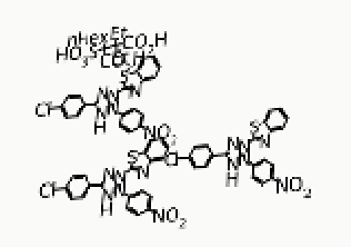 CCCCCCC(C(=O)O)(C(CC)(CC)C(=O)O)S(=O)(=O)O.O=[N+]([O-])c1ccc(N2NC(c3ccc(Cl)cc3)=NN2c2nc3ccccc3s2)cc1.O=[N+]([O-])c1ccc(N2NC(c3ccc(Cl)cc3)=NN2c2nc3ccccc3s2)cc1.O=[N+]([O-])c1ccc(N2NC(c3ccc(Cl)cc3)=NN2c2nc3ccccc3s2)cc1